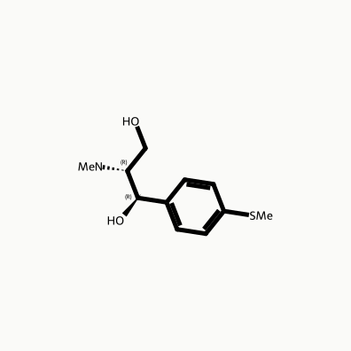 CN[C@H](CO)[C@H](O)c1ccc(SC)cc1